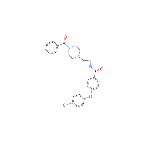 O=C(c1ccccc1)N1CCN(C2CN(C(=O)c3ccc(Oc4ccc(Cl)cc4)cc3)C2)CC1